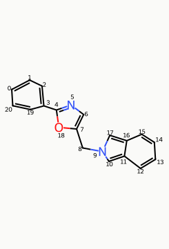 c1ccc(-c2ncc(Cn3cc4ccccc4c3)o2)cc1